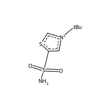 CC(C)(C)[n+]1csc(S(N)(=O)=O)c1